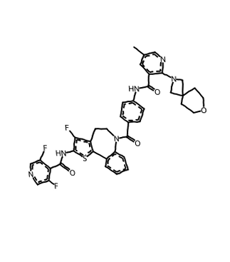 Cc1cnc(N2CC3(CCOCC3)C2)c(C(=O)Nc2ccc(C(=O)N3CCc4c(sc(NC(=O)c5c(F)cncc5F)c4F)-c4ccccc43)cc2)c1